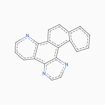 c1ccc2c(c1)ccc1c3ncccc3c3nccnc3c21